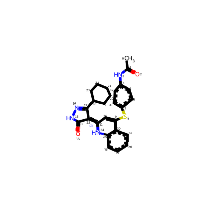 CC(=O)Nc1ccc(SC2=C/C(=C3/C(=O)NN=C3C3CCCCC3)Nc3ccccc32)cc1